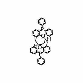 c1ccc(P(c2ccccc2)c2cccc3c2O[C@@H]2CC[C@H](C3)Oc3c(cccc3P(c3ccccc3)c3ccccc3)C2)cc1